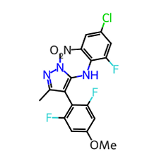 COc1cc(F)c(-c2c(C)nn(C)c2Nc2c(F)cc(Cl)cc2[N+](=O)[O-])c(F)c1